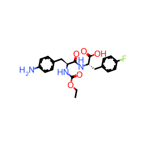 CCOC(=O)N[C@@H](Cc1ccc(N)cc1)C(=O)N[C@@H](Cc1ccc(F)cc1)C(=O)O